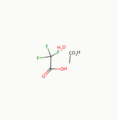 CC(=O)O.O.O=C(O)C(F)(F)F